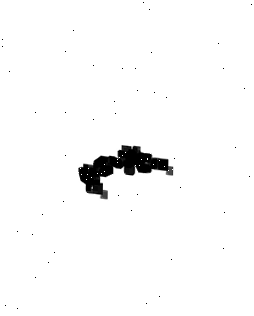 Cc1ccnc(N2CCN(CCn3cnc4sc5c(c4c3=O)CCN(C)C5)CC2)n1